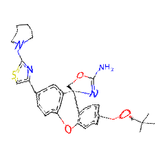 CC(C)(C)COc1ccc2c(c1)[C@]1(COC(N)=N1)c1cc(-c3csc(N4CCCC4)n3)ccc1O2